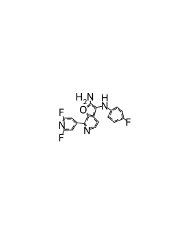 Nc1oc2c(-c3cc(F)nc(F)c3)nccc2c1Nc1ccc(F)cc1